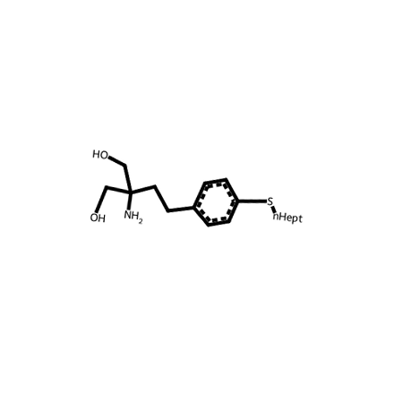 CCCCCCCSc1ccc(CCC(N)(CO)CO)cc1